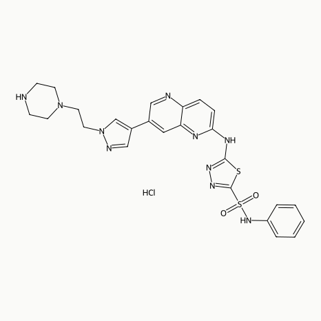 Cl.O=S(=O)(Nc1ccccc1)c1nnc(Nc2ccc3ncc(-c4cnn(CCN5CCNCC5)c4)cc3n2)s1